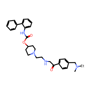 CCN(C)Cc1ccc(C(=O)CNCCN2CCC(OC(=O)Nc3ccccc3-c3ccccc3)CC2)cc1